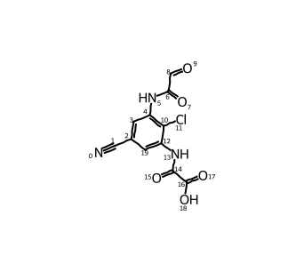 N#Cc1cc(NC(=O)C=O)c(Cl)c(NC(=O)C(=O)O)c1